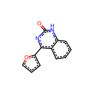 O=c1nc(-c2ccco2)c2ccccc2[nH]1